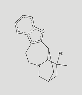 CCC1(C)CC2CC3c4sc5ccccc5c4CCN(C2)C31